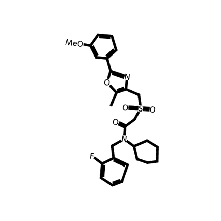 COc1cccc(-c2nc(CS(=O)(=O)CC(=O)N(Cc3ccccc3F)C3CCCCC3)c(C)o2)c1